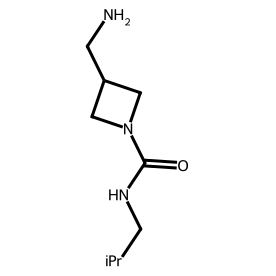 CC(C)CNC(=O)N1CC(CN)C1